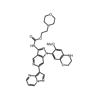 COc1cc2c(cc1-n1nc(NC(=O)OCCN3CCOCC3)c3cnc(-c4cnn5cccnc45)cc31)SCCN2